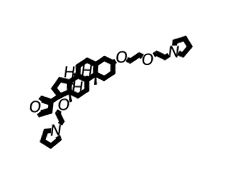 C[C@]12CCC(OCCOCCN3CCCC3)CC1CC[C@@H]1[C@H]2CC[C@@]2(C)[C@H]1CCC2(OCCN1CCCC1)c1ccoc1